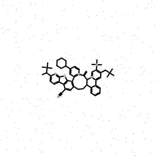 C=C1C2C(CCc3cc(C#N)c4c(oc5nc(C(C)C(C)(C)C)ccc54)c3-c3cc(C4CCCCC4)cc[n+]31)c1ccccc1-c1cc(CC(C)(C)C)c([Si](C)(C)C)c[n+]12